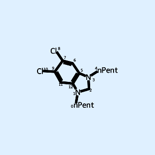 CCCCCN1CN(CCCCC)c2cc(Cl)c(Cl)cc21